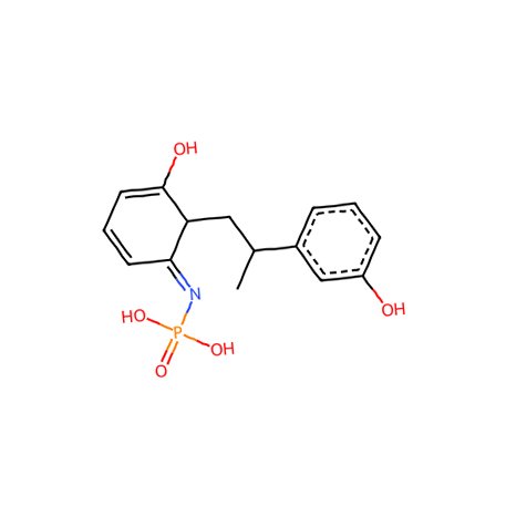 CC(CC1C(O)=CC=CC1=NP(=O)(O)O)c1cccc(O)c1